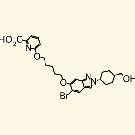 O=C(O)c1cccc(OCCCCCOc2cc3nn([C@H]4CC[C@H](CO)CC4)cc3cc2Br)n1